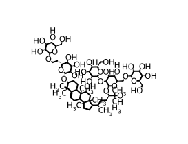 C[C@H](CC[C@@H](O[C@@H]1O[C@H](CO[C@@H]2O[C@H](CO)[C@@H](O)[C@H](O)[C@H]2O)[C@@H](O)[C@H](O)[C@H]1O[C@@H]1O[C@H](CO)[C@@H](O)[C@H](O)[C@H]1O)C(C)(C)O)C1CC[C@@]2(C)C3CC=C4C(CC[C@H](O[C@@H]5O[C@H](CCO[C@H]6O[C@H](CO)[C@@H](O)[C@H](O)[C@H]6O)[C@@H](O)[C@H](O)[C@H]5O)C4(C)C)[C@]3(C)[C@H](O)C[C@]12C